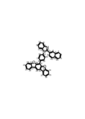 c1ccc2cc(-c3nc4ccccc4n3-c3ccc(-c4c5oc6ccccc6c5cc5c4oc4ccccc45)cc3)ccc2c1